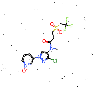 CN(C(=O)CCS(=O)(=O)CC(F)(F)F)c1cn(-c2ccc[n+]([O-])c2)nc1Cl